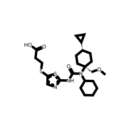 COC[C@]1(N(C(=O)Nc2ncc(SCCC(=O)O)s2)C2CCCCC2)CC[C@H](C2CC2)CC1